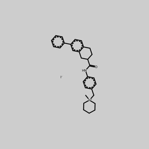 C[N+]1(Cc2ccc(NC(=O)C3CCc4ccc(-c5ccccc5)cc4C3)cc2)CCCCC1.[I-]